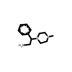 CN1CCN(C(CN)c2ccccc2)CC1